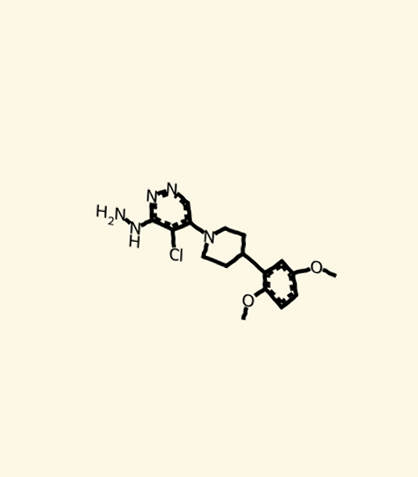 COc1ccc(OC)c(C2CCN(c3cnnc(NN)c3Cl)CC2)c1